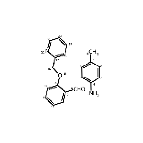 Cc1ccc(N)cc1.O=Cc1ccccc1OCc1ccccn1